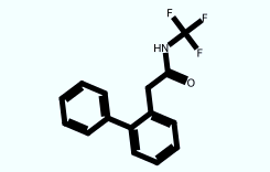 O=C(Cc1ccccc1-c1ccccc1)NC(F)(F)F